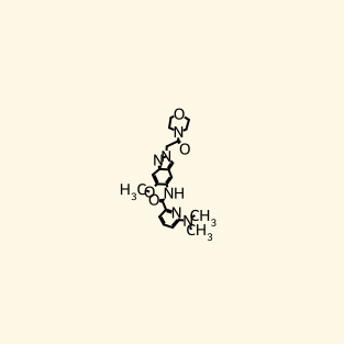 COc1cc2nn(CC(=O)N3CCOCC3)cc2cc1NC(=O)c1cccc(N(C)C)n1